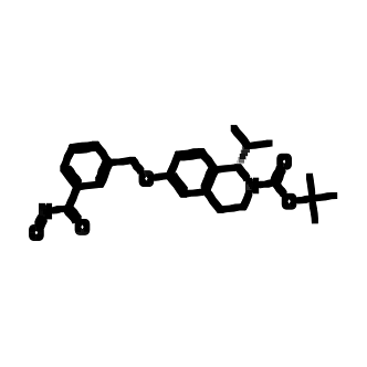 CC(C)[C@H]1c2ccc(OCc3cccc(C(=O)N=O)c3)cc2CCN1C(=O)OC(C)(C)C